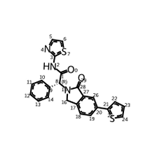 O=C(Nc1nccs1)[C@@H](c1ccccc1)N1Cc2ccc(-c3cccs3)cc2C1=O